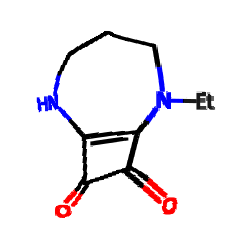 [CH2]CN1CCCNc2c1c(=O)c2=O